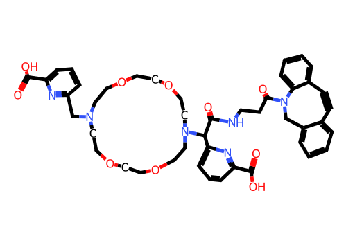 O=C(O)c1cccc(CN2CCOCCOCCN(C(C(=O)NCCC(=O)N3Cc4ccccc4C#Cc4ccccc43)c3cccc(C(=O)O)n3)CCOCCOCC2)n1